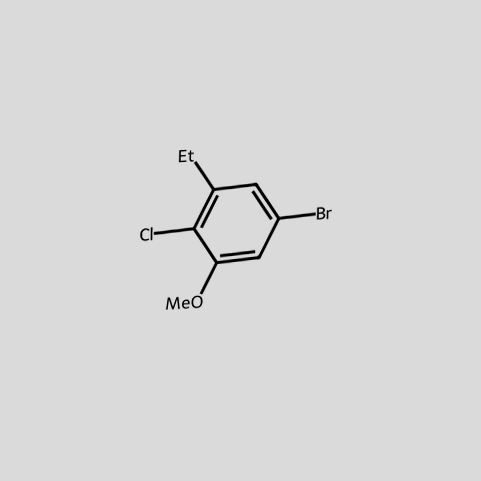 CCc1cc(Br)cc(OC)c1Cl